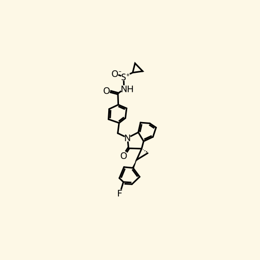 O=C(N[S+]([O-])C1CC1)c1ccc(CN2C(=O)[C@@]3(C[C@H]3c3ccc(F)cc3)c3ccccc32)cc1